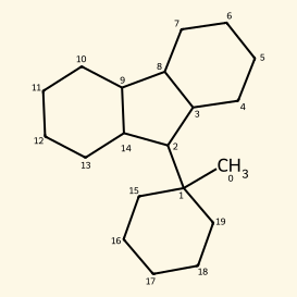 CC1(C2C3CCCCC3C3CCCCC32)CCCCC1